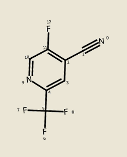 N#Cc1cc(C(F)(F)F)ncc1F